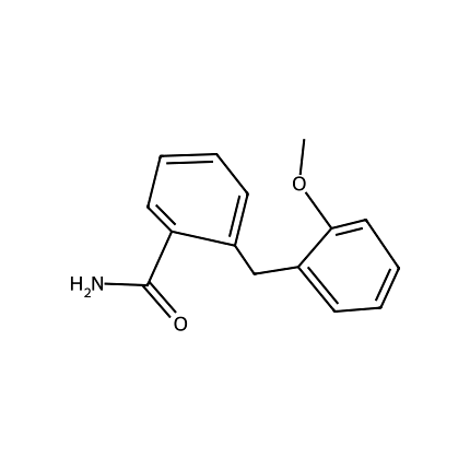 COc1ccccc1Cc1ccccc1C(N)=O